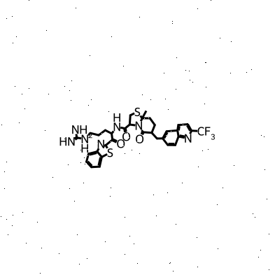 CC12CCC(Cc3ccc4nc(C(F)(F)F)ccc4c3)C(=O)N1C(C(=O)NC(CCCNC(=N)N)C(=O)c1nc3ccccc3s1)CS2